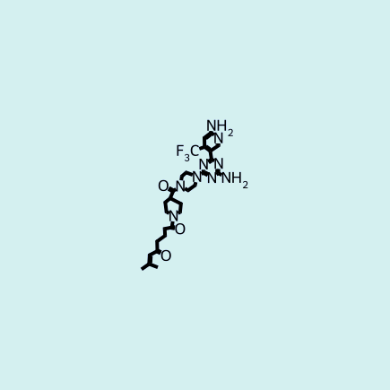 CC(C)=CC(=O)CCCC(=O)N1CCC(C(=O)N2CCN(c3nc(N)nc(-c4cnc(N)cc4C(F)(F)F)n3)CC2)CC1